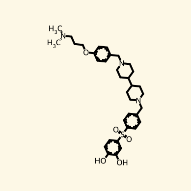 CN(C)CCCOc1ccc(CN2CCC(C3CCN(Cc4ccc(S(=O)(=O)c5ccc(O)c(O)c5)cc4)CC3)CC2)cc1